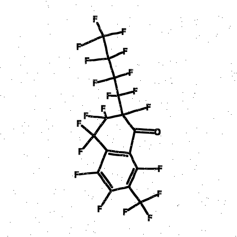 O=C1c2c(F)c(C(F)(F)F)c(F)c(F)c2C(F)(F)C(F)(F)C1(F)C(F)(F)C(F)(F)C(F)(F)C(F)(F)F